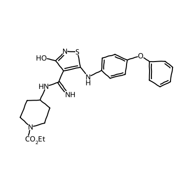 CCOC(=O)N1CCC(NC(=N)c2c(O)nsc2Nc2ccc(Oc3ccccc3)cc2)CC1